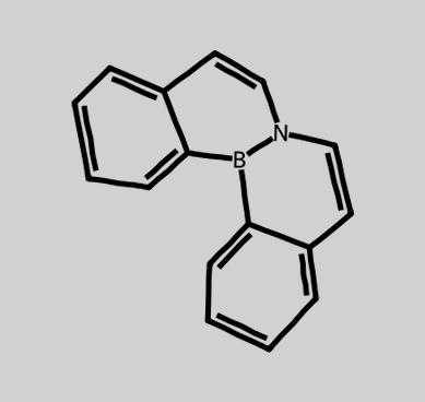 C1=CN2C=Cc3ccccc3B2c2ccccc21